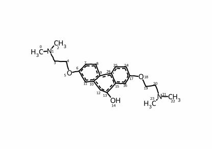 CN(C)CCOc1ccc2c(c1)cc(O)c1cc(OCCN(C)C)ccc12